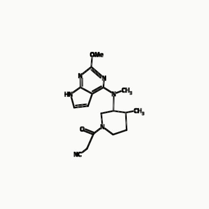 COc1nc(N(C)C2CN(C(=O)CC#N)CCC2C)c2cc[nH]c2n1